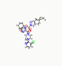 Cc1ccc(CNC(=O)ON2C(C(=O)N3CCN(c4ncccc4Cl)CC3)=NOC23CCCCC3)cc1